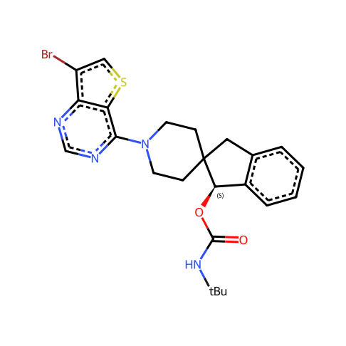 CC(C)(C)NC(=O)O[C@@H]1c2ccccc2CC12CCN(c1ncnc3c(Br)csc13)CC2